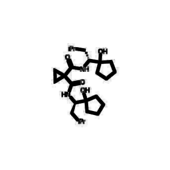 CC(C)C[C@@H](NC(=O)C1(C(=O)N[C@H](CC(C)C)C2(O)CCCC2)CC1)C1(O)CCCC1